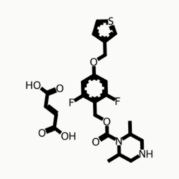 CC1CNCC(C)N1C(=O)OCc1c(F)cc(OCc2ccsc2)cc1F.O=C(O)C=CC(=O)O